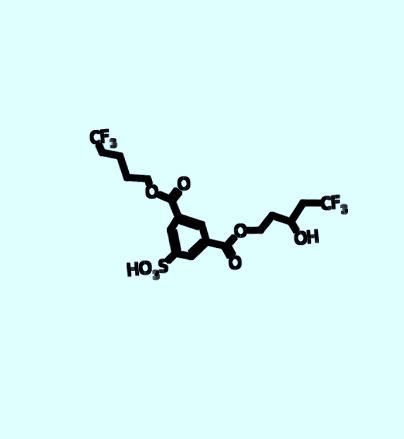 O=C(OCCCCC(F)(F)F)c1cc(C(=O)OCCC(O)CC(F)(F)F)cc(S(=O)(=O)O)c1